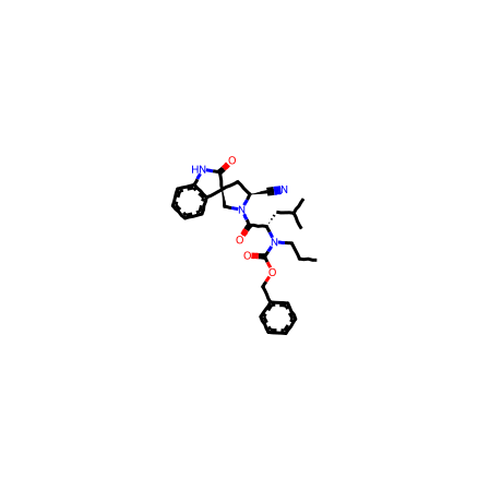 CCCN(C(=O)OCc1ccccc1)[C@@H](CC(C)C)C(=O)N1C[C@]2(C[C@H]1C#N)C(=O)Nc1ccccc12